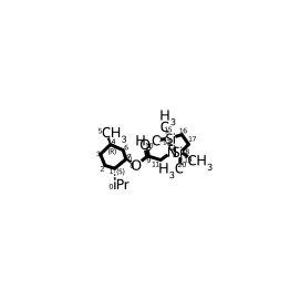 CC(C)[C@@H]1CC[C@@H](C)C[C@H]1OC(=O)CN1[Si](C)(C)CC[Si]1(C)C